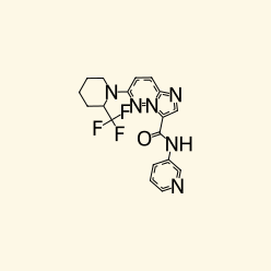 O=C(Nc1cccnc1)c1cnc2ccc(N3CCCCC3C(F)(F)F)nn12